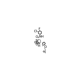 CN(C)CCOc1ccc([C@H]2C[C@@H](C(=O)Nc3ccc(F)c(Cl)c3)N(C)S(=O)(=O)N2)s1